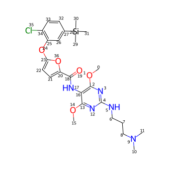 COc1nc(NCCCN(C)C)nc(OC)c1NC(=O)c1ccc(Oc2cc([Si](C)(C)C)ccc2Cl)o1